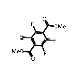 COC(=O)c1c(F)c(F)c(C(=O)OC)c(Cl)c1F